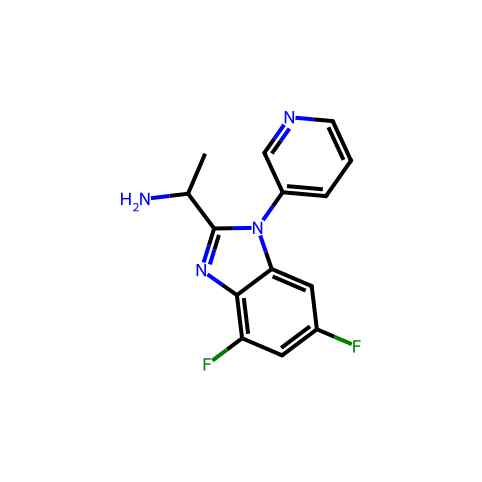 CC(N)c1nc2c(F)cc(F)cc2n1-c1cccnc1